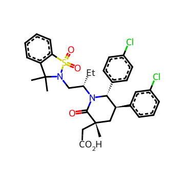 CC[C@@H](CN1C(C)(C)c2ccccc2S1(=O)=O)N1C(=O)[C@@](C)(CC(=O)O)C[C@H](c2cccc(Cl)c2)[C@H]1c1ccc(Cl)cc1